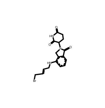 O=C1CCC(N2Cc3c(NC/C=C/CBr)cccc3C2=O)C(=O)N1